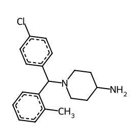 Cc1ccccc1C(c1ccc(Cl)cc1)N1CCC(N)CC1